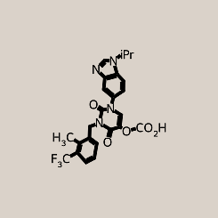 Cc1c(Cn2c(=O)c(OC(=O)O)cn(-c3ccc4c(c3)ncn4C(C)C)c2=O)cccc1C(F)(F)F